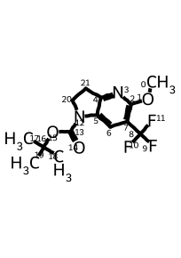 COc1nc2c(cc1C(F)(F)F)N(C(=O)OC(C)(C)C)CC2